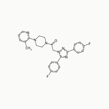 Cc1cccnc1N1CCN(C(=O)Cn2nc(-c3ccc(F)cc3)nc2-c2ccc(F)cc2)CC1